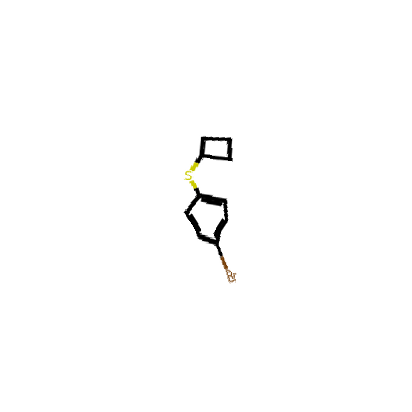 Brc1ccc(SC2CCC2)cc1